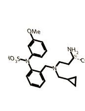 COc1cccc(N(c2ccccc2CN(CC[C@H](N)C(=O)O)CC2CC2)S(=O)(=O)O)c1